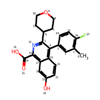 Cc1cc(-c2c(C3CCOCC3)nc(C(=O)O)c3cc(O)ccc23)ccc1F